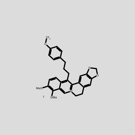 COc1ccc2c(CCCc3ccc(OC(F)(F)F)cc3)c3[n+](cc2c1OC)CCc1cc2c(cc1-3)OCO2.[I-]